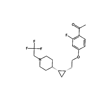 CC(=O)c1ccc(OCC[C@@H]2C[C@@H]2C2CCN(CC(F)(F)F)CC2)cc1F